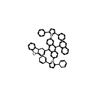 C1=CCC(c2ccc(C3=CCCC=C3)n2-c2ccc3c(-c4cccc5ccccc45)c4cc(-n5c(-c6ccccc6)ccc5-c5ccccc5)ccc4c(C4=CC=C5Oc6ccccc6C5C4)c3c2)C=C1